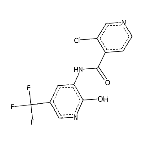 O=C(Nc1cc(C(F)(F)F)cnc1O)c1ccncc1Cl